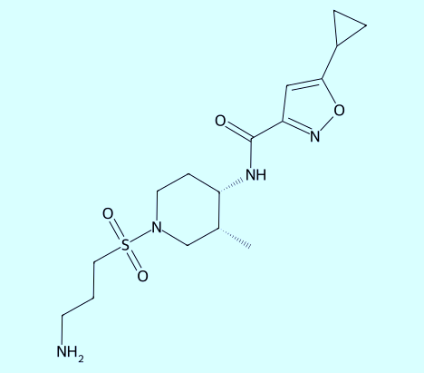 C[C@@H]1CN(S(=O)(=O)CCCN)CC[C@@H]1NC(=O)c1cc(C2CC2)on1